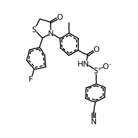 Cc1cc(C(=O)N[S+]([O-])c2ccc(C#N)cc2)ccc1N1C(=O)CSC1c1ccc(F)cc1